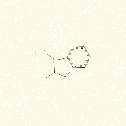 CC1Cc2ccccc2N1N